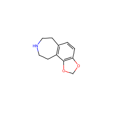 [CH]1Oc2ccc3c(c2O1)CCNCC3